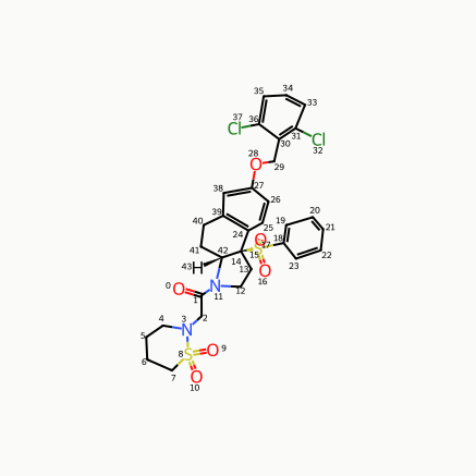 O=C(CN1CCCCS1(=O)=O)N1CC[C@@]2(S(=O)(=O)c3ccccc3)c3ccc(OCc4c(Cl)cccc4Cl)cc3CC[C@@H]12